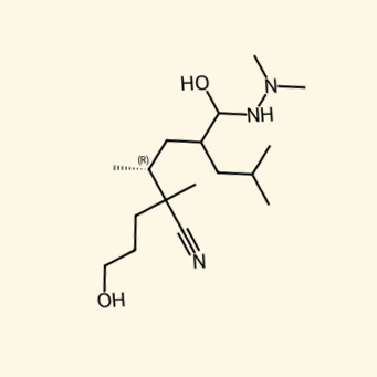 CC(C)CC(C[C@@H](C)C(C)(C#N)CCCO)C(O)NN(C)C